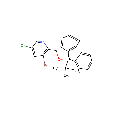 CC(C)(C)[Si](OCc1ncc(Cl)cc1Br)(c1ccccc1)c1ccccc1